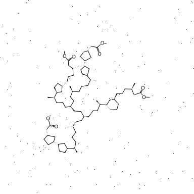 COC(=O)C[C@H](C)CCC[C@H]1CCC[C@H]([C@H](C)CCC[C@@H](CC[C@@H](C)CCC[C@@H](C)[C@H]2CC[C@H](C3CC[C@H](CC(=O)OC)C3)C2)CC[C@@H](CCC[C@@H](C)[C@H]2CC[C@H](CCC[C@@H](C)CC(=O)OC)C2)CC[C@@H](C)CCC[C@@H](C)[C@H]2CC[C@H](C3CC[C@H](CC(=O)OC)C3)C2)C1